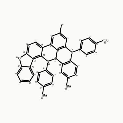 Cc1cc2c3c(c1)N(c1ccc(C(C)(C)C)cc1)c1ccc(C(C)(C)C)cc1B3N(c1ccc(C(C)(C)C)cc1)c1c-2ccc2oc3ccccc3c12